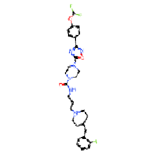 O=C(NCCCN1CCC(Cc2ccccc2F)CC1)N1CCN(c2nc(-c3ccc(OC(F)F)cc3)no2)CC1